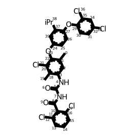 Cc1cc(NC(=O)NC(=O)c2c(Cl)cccc2Cl)c(C)c(Cl)c1Oc1ccc(Oc2ccc(Cl)cc2Cl)c(C(C)C)c1